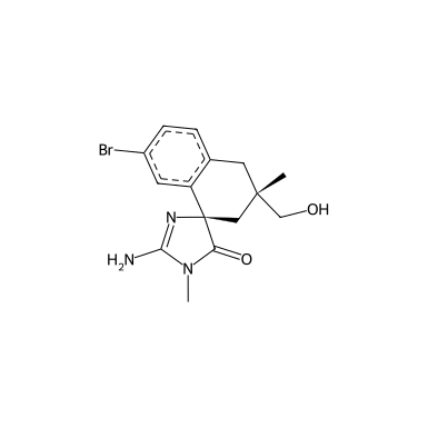 CN1C(=O)[C@]2(C[C@@](C)(CO)Cc3ccc(Br)cc32)N=C1N